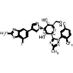 Cc1nc([C@@H]2O[C@H](CO)[C@H](O)[C@H](n3cc(-c4cc(F)c5sc(C)nc5c4)cn3)[C@H]2O)n(-c2cc(Cl)ccc2C(F)(F)F)n1